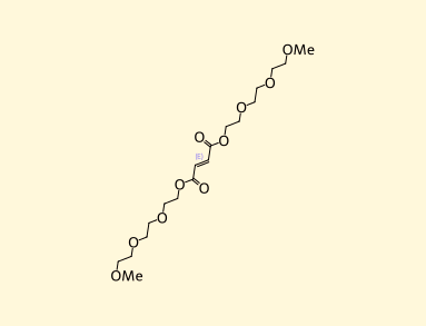 COCCOCCOCCOC(=O)/C=C/C(=O)OCCOCCOCCOC